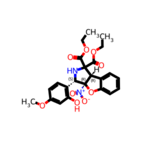 CCOC(=O)C1(C(=O)OCC)N[C@@H](c2ccc(OC)cc2O)[C@]2([N+](=O)[O-])Oc3ccccc3[C@H]12